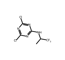 CC(Nc1nc(Cl)nc(Cl)n1)C(F)(F)F